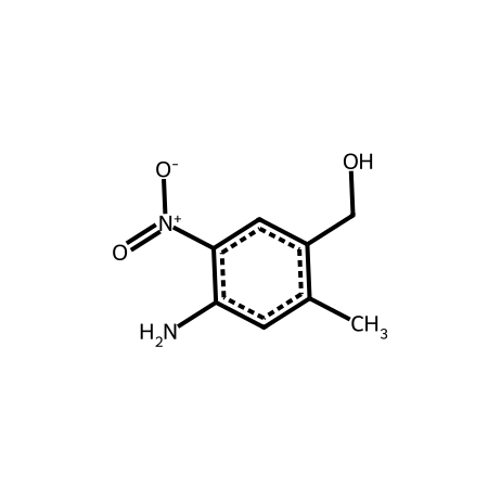 Cc1cc(N)c([N+](=O)[O-])cc1CO